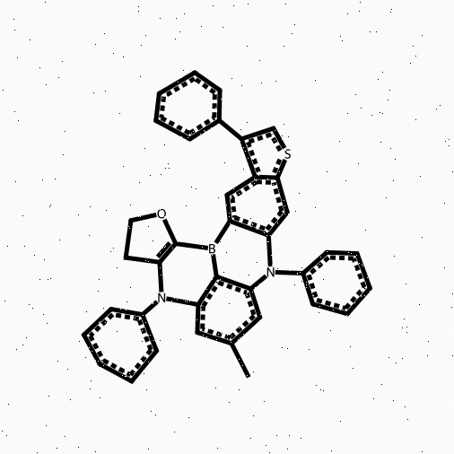 Cc1cc2c3c(c1)N(c1ccccc1)c1cc4scc(-c5ccccc5)c4cc1B3C1=C(CCO1)N2c1ccccc1